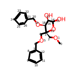 COC[C@]1(COCc2ccccc2)OC(O)[C@H](O)[C@@H]1OCc1ccccc1